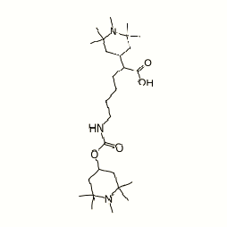 CN1C(C)(C)CC(OC(=O)NCCCCC(C(=O)O)C2CC(C)(C)N(C)C(C)(C)C2)CC1(C)C